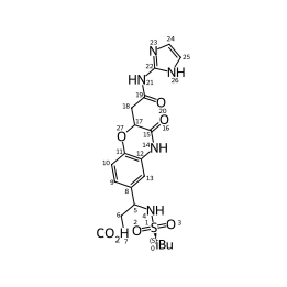 CC[C@H](C)S(=O)(=O)NC(CC(=O)O)c1ccc2c(c1)NC(=O)C(CC(=O)Nc1ncc[nH]1)O2